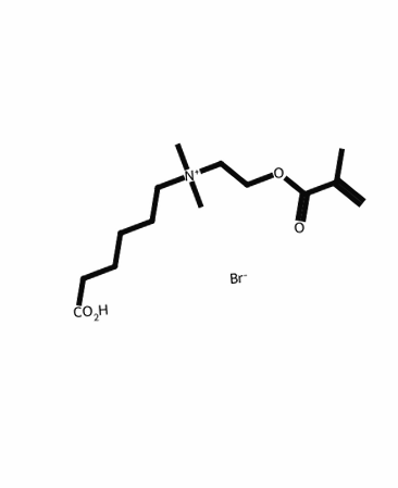 C=C(C)C(=O)OCC[N+](C)(C)CCCCCC(=O)O.[Br-]